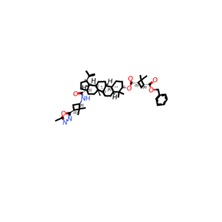 C=C(C)[C@@H]1CC[C@]2(C(=O)N[C@@H]3C[C@H](c4nnc(C)o4)C3(C)C)CC[C@]3(C)[C@H](CC[C@@H]4[C@@]5(C)CC[C@H](OC(=O)[C@H]6C[C@@H](C(=O)OCc7ccccc7)C6(C)C)C(C)(C)[C@@H]5CC[C@]43C)[C@@H]12